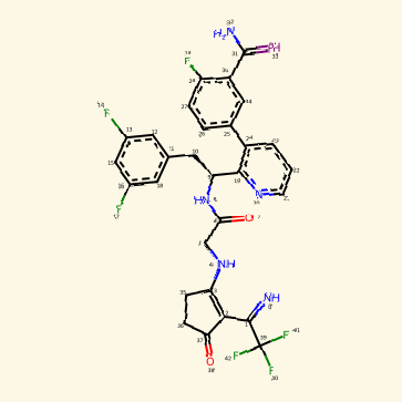 N=C(C1=C(NCC(=O)N[C@@H](Cc2cc(F)cc(F)c2)c2ncccc2-c2ccc(F)c(C(N)=P)c2)CCC1=O)C(F)(F)F